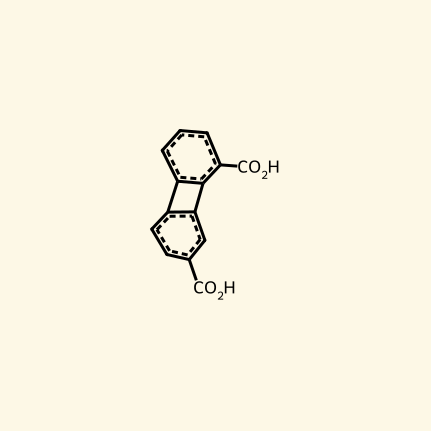 O=C(O)c1ccc2c(c1)-c1c(C(=O)O)cccc1-2